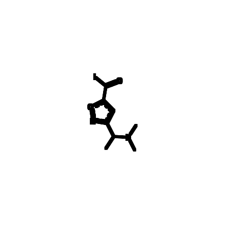 CC(c1cc(C(=O)I)on1)N(C)C